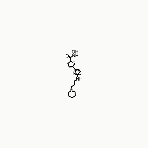 O=C(NO)C1CC=C(c2csc(NCCCN3CCCCC3)n2)S1